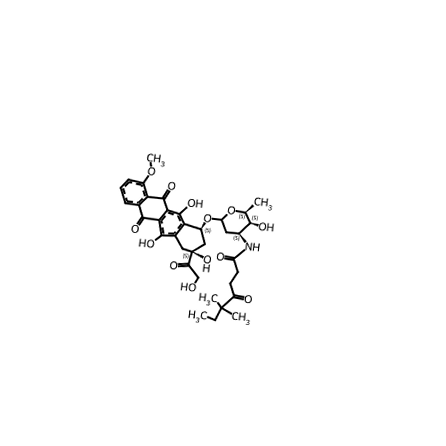 CCC(C)(C)C(=O)CCC(=O)N[C@H]1CC(O[C@H]2C[C@](O)(C(=O)CO)Cc3c(O)c4c(c(O)c32)C(=O)c2c(OC)cccc2C4=O)O[C@@H](C)[C@H]1O